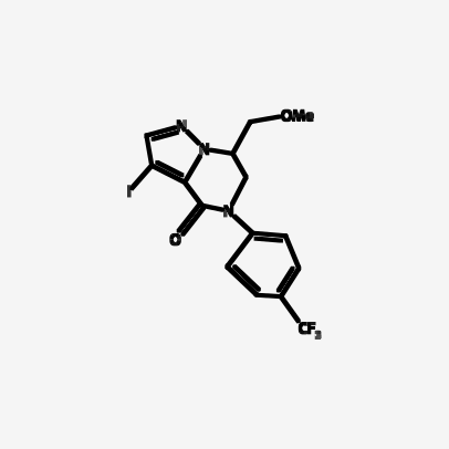 COCC1CN(c2ccc(C(F)(F)F)cc2)C(=O)c2c(I)cnn21